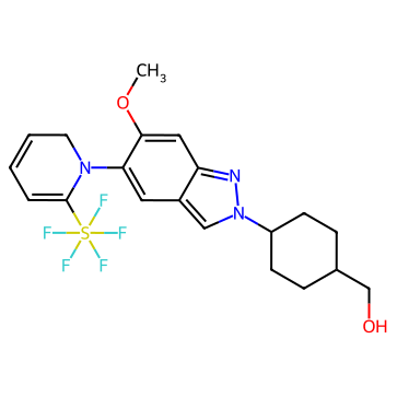 COc1cc2nn(C3CCC(CO)CC3)cc2cc1N1CC=CC=C1S(F)(F)(F)(F)F